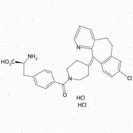 Cl.Cl.N[C@@H](Cc1ccc(C(=O)N2CCC(=C3c4ccc(Cl)cc4CCc4cccnc43)CC2)cc1)C(=O)O